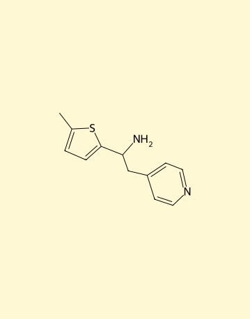 Cc1ccc(C(N)Cc2ccncc2)s1